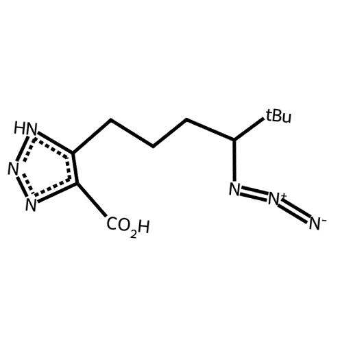 CC(C)(C)C(CCCc1[nH]nnc1C(=O)O)N=[N+]=[N-]